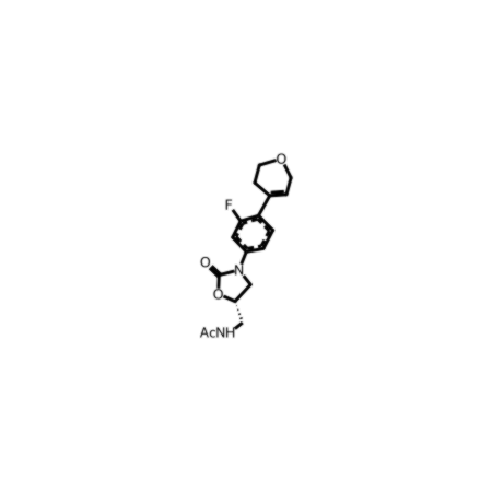 CC(=O)NC[C@H]1CN(c2ccc(C3=CCOCC3)c(F)c2)C(=O)O1